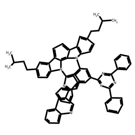 CC(C)CCc1ccc2c(c1)c1ccc3c4cc(CCC(C)C)ccc4n(-c4cccc(-c5cnc6ccccc6c5)n4)c3c1n2-c1cc(-c2ccccc2)cc(-c2nc(-c3ccccc3)nc(-c3ccccc3)n2)c1